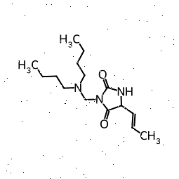 CC=CC1NC(=O)N(CN(CCCC)CCCC)C1=O